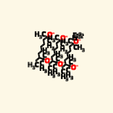 CCC(CCCCCC(C)(C)[O-])C(C)(C)[O-].CCC(CCCCCC(C)(C)[O-])C(C)(C)[O-].CCC(CCCCCC(C)(C)[O-])C(C)(C)[O-].[Er+3].[Er+3]